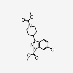 COC(=O)N1CCC(c2nn(C(=O)OC)c3cc(Cl)ccc23)CC1